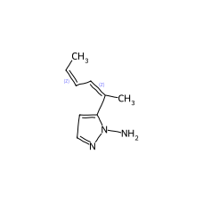 C/C=C\C=C(\C)c1ccnn1N